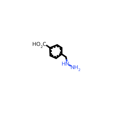 NNCc1ccc(C(=O)O)cc1